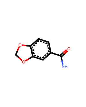 [NH]C(=O)c1ccc2c(c1)OCO2